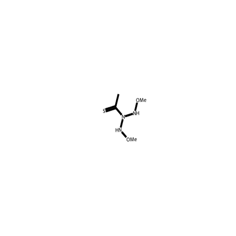 CONN(NOC)C(C)=S